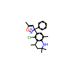 CC1=CC(c2ccccc2)(c2cc(C)c3c(c2Cl)C(C)CC(C)(C)N3)NO1